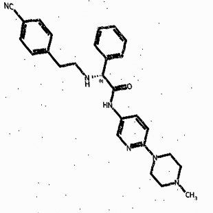 CN1CCN(c2ccc(NC(=O)[C@H](NCCc3ccc(C#N)cc3)c3ccccc3)cn2)CC1